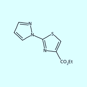 CCOC(=O)c1csc(-n2cccn2)n1